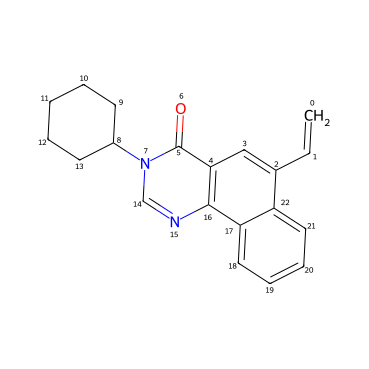 C=Cc1cc2c(=O)n(C3CCCCC3)cnc2c2ccccc12